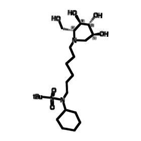 CC(C)(C)S(=O)(=O)N(CCCCCCN1C[C@H](O)[C@@H](O)[C@H](O)[C@H]1CO)C1CCCCC1